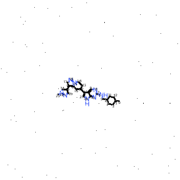 CC1CCC(CNc2ncc3c(-c4ccn5ncc(-c6cnn(C)c6)c5c4)c[nH]c3n2)CC1